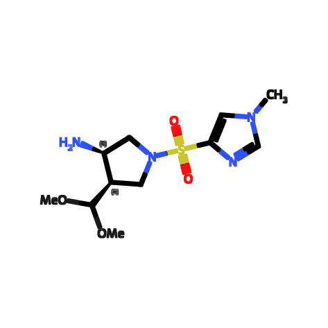 COC(OC)[C@@H]1CN(S(=O)(=O)c2cn(C)cn2)C[C@@H]1N